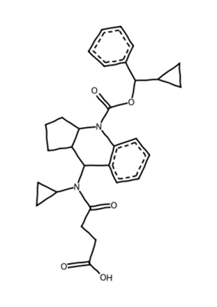 O=C(O)CCC(=O)N(C1CC1)C1c2ccccc2N(C(=O)OC(c2ccccc2)C2CC2)C2CCCC21